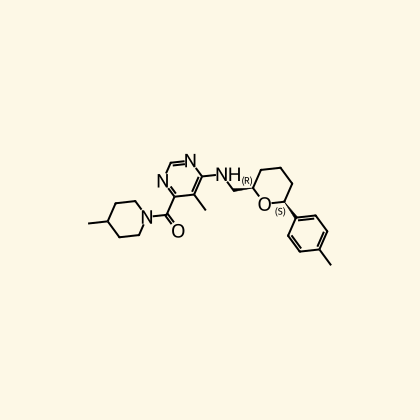 Cc1ccc([C@@H]2CCC[C@H](CNc3ncnc(C(=O)N4CCC(C)CC4)c3C)O2)cc1